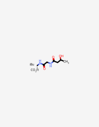 CC[C@H](C)[C@H](NC(=O)CNC(=O)CC(C)O)C(=O)O